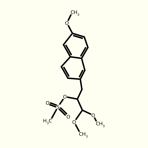 COc1ccc2cc(CC(OS(C)(=O)=O)C(OC)OC)ccc2c1